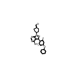 Nc1ncnc2c1c(-c1ccc(Oc3ccccc3)cc1F)nn2C1CCC(=C[O])CC1